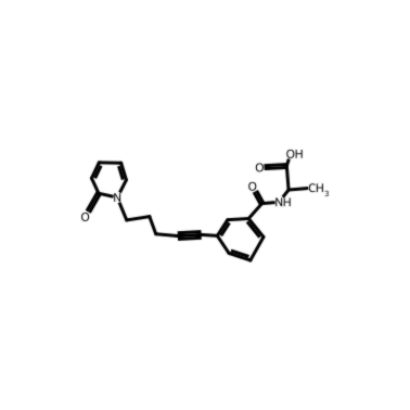 CC(NC(=O)c1cccc(C#CCCCn2ccccc2=O)c1)C(=O)O